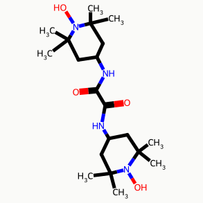 CC1(C)CC(NC(=O)C(=O)NC2CC(C)(C)N(O)C(C)(C)C2)CC(C)(C)N1O